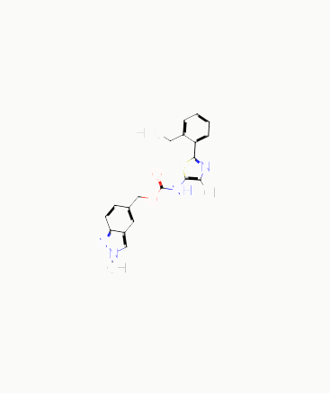 CCc1ccccc1-c1nc(C)c(NC(=O)OCc2ccc3nn(C)cc3c2)s1